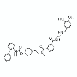 CN(CCN1CCC(OC(=O)Nc2ccccc2-c2ccccc2)CC1)C(=O)c1cccc(C(=O)NCCNCc2ccc(O)c(O)c2)c1